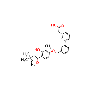 Cc1c(OCc2cccc(-c3cccc(CC(=O)O)c3)c2)ccc(C(=O)CC(C)(C)C)c1O